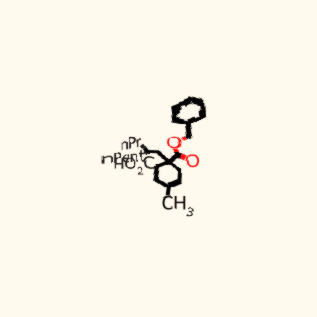 CCCCCC(CCC)CC1(C(=O)OCc2ccccc2)CC=C(C)CC1C(=O)O